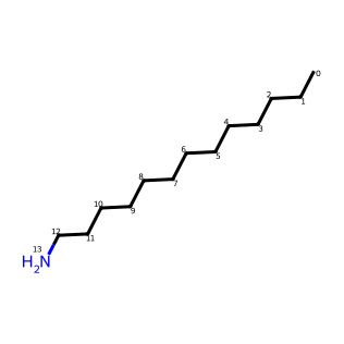 CCCCCCCCCCCCCN